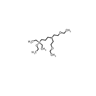 CCOCCN(CCC[Si](CC)(CC)OCC)CCOCC